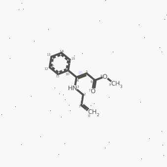 C=CCN/C(=C\C(=O)OC)c1ccccc1